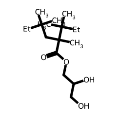 CCC(C)(C)CC(C)(C(=O)OCC(O)CO)C(C)(C)CC